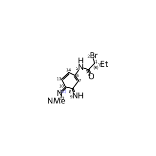 CC[C@@H](Br)C(=O)NC1=CC(=N)/C(=N\NC)C=C1